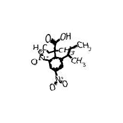 CCC(C)c1cc([N+](=O)[O-])cc([N+](=O)[O-])c1C(C)(CC)C(=O)O